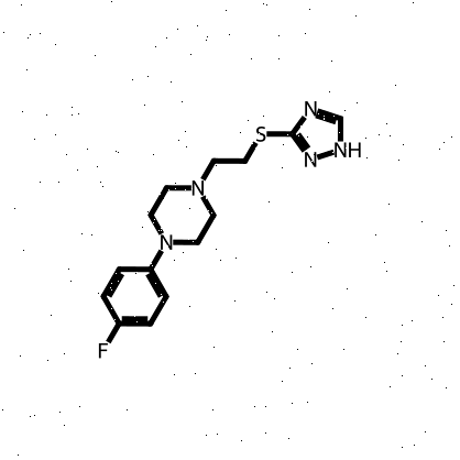 Fc1ccc(N2CCN(CCSc3nc[nH]n3)CC2)cc1